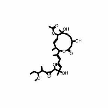 CCC(OC)C(C)C1OC1C(O)C(C)(O)/C=C/C=C(\C)C1OC(=O)CC(O)CCC(C)(O)C(OC(C)=O)/C=C/C1C